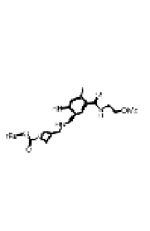 COCCNC(=O)C1=C/C(=C/NCC2CN(C(=O)OC(C)(C)C)C2)C(=N)C=C1C